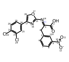 O=C(O)/C(Cc1cccc([N+](=O)[O-])c1)=N/c1nc(-c2ccc(Cl)c(Cl)c2)co1